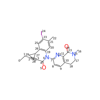 CCC#CC(=O)N(c1ccc2c(n1)C(=O)N(C)CC2)c1cc(C)c(I)cc1C1CC1